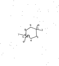 CC1(C)C[CH2][Sn]([CH3])([CH3])[CH2]C1